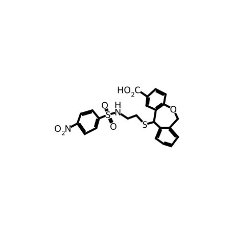 O=C(O)c1ccc2c(c1)C(SCCNS(=O)(=O)c1ccc([N+](=O)[O-])cc1)c1ccccc1CO2